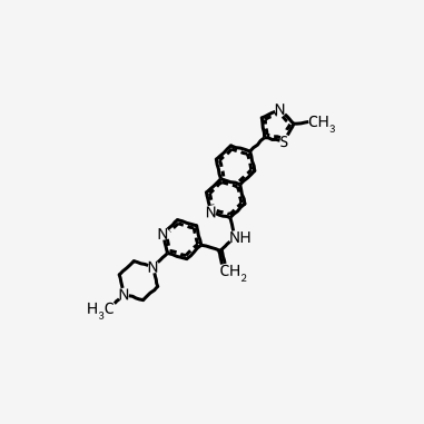 C=C(Nc1cc2cc(-c3cnc(C)s3)ccc2cn1)c1ccnc(N2CCN(C)CC2)c1